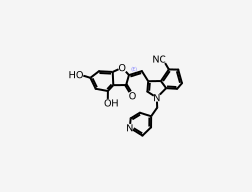 N#Cc1cccc2c1c(/C=C1/Oc3cc(O)cc(O)c3C1=O)cn2Cc1ccncc1